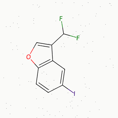 FC(F)c1coc2ccc(I)cc12